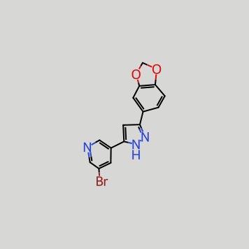 Brc1cncc(-c2cc(-c3ccc4c(c3)OCO4)n[nH]2)c1